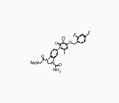 CNCC(=O)N1CN(C(N)=O)c2cc(-n3c(C)cc(OCc4ccc(F)cc4F)c(Cl)c3=O)ccc21